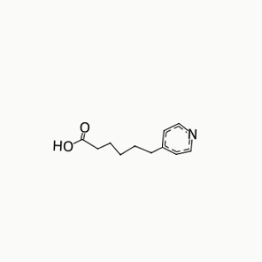 O=C(O)CCCCCc1ccncc1